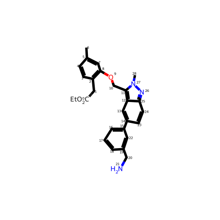 CCOC(=O)Cc1ccc(C)cc1OCc1c2cc(-c3cccc(CN)c3)ccc2nn1C